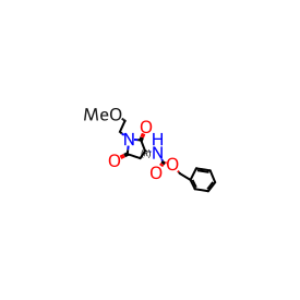 COCCN1C(=O)C[C@@H](NC(=O)OCc2ccccc2)C1=O